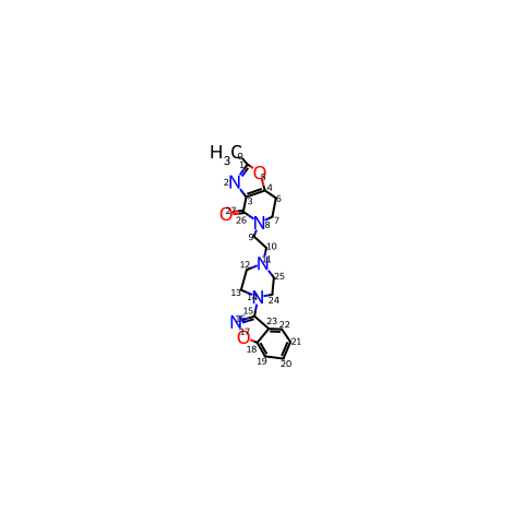 Cc1nc2c(o1)CCN(CCN1CCN(c3noc4ccccc34)CC1)C2=O